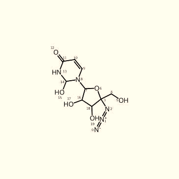 [N-]=[N+]=NC1(CO)OC(N2C=CC(=O)NC2O)C(O)C1O